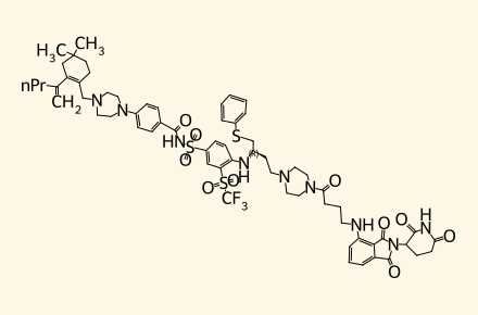 C=C(CCC)C1=C(CN2CCN(c3ccc(C(=O)NS(=O)(=O)c4ccc(N[C@H](CCN5CCN(C(=O)CCCNc6cccc7c6C(=O)N(C6CCC(=O)NC6=O)C7=O)CC5)CSc5ccccc5)c(S(=O)(=O)C(F)(F)F)c4)cc3)CC2)CCC(C)(C)C1